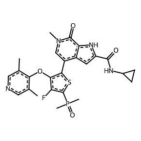 Cc1cncc(C)c1Oc1c(-c2cn(C)c(=O)c3[nH]c(C(=O)NC4CC4)cc23)sc(P(C)(C)=O)c1F